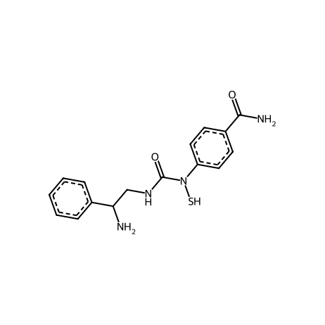 NC(=O)c1ccc(N(S)C(=O)NCC(N)c2ccccc2)cc1